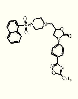 Cc1nc(-c2ccc(N3CC(CN4CCN(S(=O)(=O)c5cccc6ccccc56)CC4)OC3=O)cc2)no1